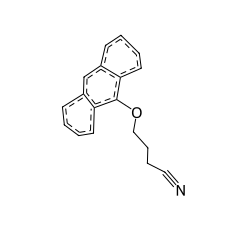 N#CCCCOc1c2ccccc2cc2ccccc12